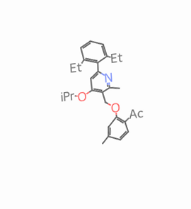 CCc1cccc(CC)c1-c1cc(OC(C)C)c(COc2cc(C)ccc2C(C)=O)c(C)n1